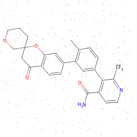 Cc1ccc(-c2c(C(N)=O)ccnc2C(F)(F)F)cc1-c1ccc2c(c1)OC1(CCCOC1)CC2=O